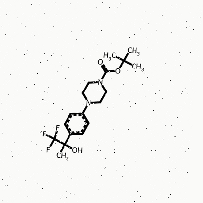 CC(C)(C)OC(=O)N1CCN(c2ccc(C(C)(O)C(F)(F)F)cc2)CC1